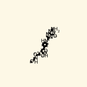 COCCNC(=O)CC[C@H](CC(=O)c1ccc(NCC2=NC3C(=O)N=C(N)N=C3N=C2)cc1)C(=O)O